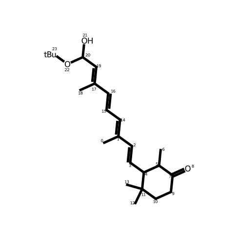 CC(/C=C/C1C(C)C(=O)CCC1(C)C)=C\C=C\C(C)=C\C(O)OC(C)(C)C